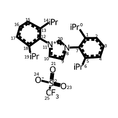 CC(C)c1cccc(C(C)C)c1-n1cc[n+](-c2c(C(C)C)cccc2C(C)C)c1.O=S(=O)([O-])C(F)(F)F